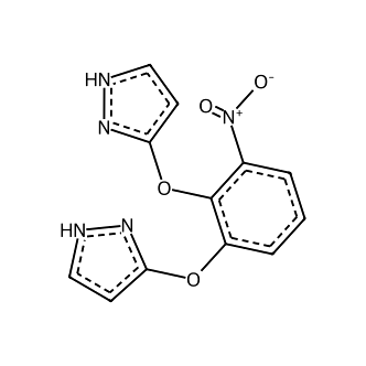 O=[N+]([O-])c1cccc(Oc2cc[nH]n2)c1Oc1cc[nH]n1